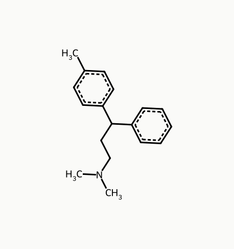 Cc1ccc(C(CCN(C)C)c2ccccc2)cc1